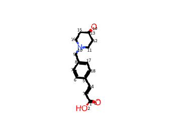 O=C(O)C=Cc1ccc(CN2CCC(=O)CC2)cc1